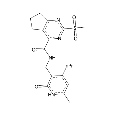 CCCc1cc(C)[nH]c(=O)c1CNC(=O)c1nc(S(C)(=O)=O)nc2c1CCC2